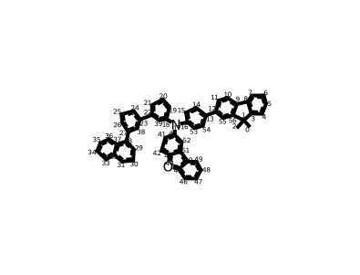 CC1(C)c2ccccc2-c2ccc(-c3ccc(N(c4cccc(-c5cccc(-c6cccc7ccccc67)c5)c4)c4ccc5oc6ccccc6c5c4)cc3)cc21